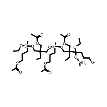 CCOC(CCCS)(O[SiH2]C)C(CC)(COC(C)=O)CO[Si](C)(CCCSC(C)=O)OCC(CC)(COC(C)=O)CO[Si](C)(CCCSC(C)=O)OCC